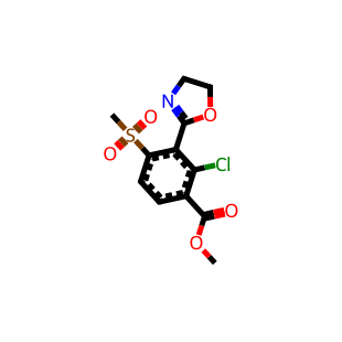 COC(=O)c1ccc(S(C)(=O)=O)c(C2=NCCO2)c1Cl